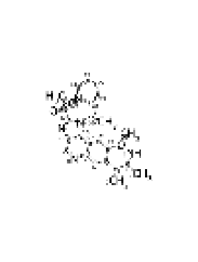 C=C(C(C)=N)c1cc2ncc3nc(S(C)(=O)=O)n([C@H](C)c4ccccn4)c3c2cc1OC